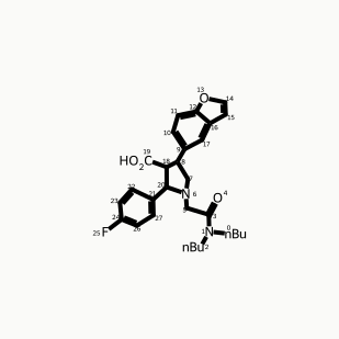 CCCCN(CCCC)C(=O)CN1CC(c2ccc3occc3c2)C(C(=O)O)C1c1ccc(F)cc1